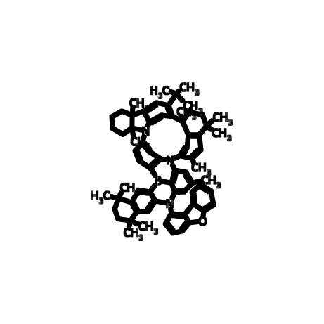 Cc1cc2c3c(c1)N(c1cccc4oc5ccccc5c14)c1cc4c(cc1B3c1ccc3cc1N2c1cc2c(cc1C)C(C)(C)CCC2(C)c1cc2c(cc1C(C)(C)C)C1(C)CCCCC1(C)N32)C(C)(C)CCC4(C)C